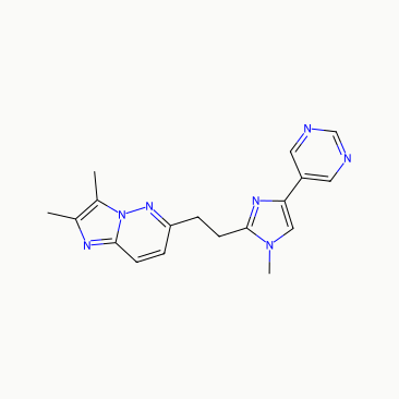 Cc1nc2ccc(CCc3nc(-c4cncnc4)cn3C)nn2c1C